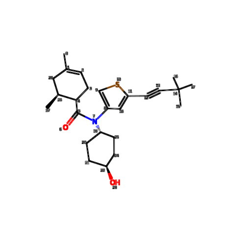 CC1=CCC(C(=O)N(c2csc(C#CC(C)(C)C)c2)[C@H]2CC[C@H](O)CC2)[C@@H](C)C1